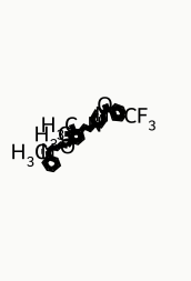 Cc1c(CCN2CCN(C(=O)c3ccc(C(F)(F)F)cc3)CC2)ccc(OCCCN(C)C2CCCCC2)c1C